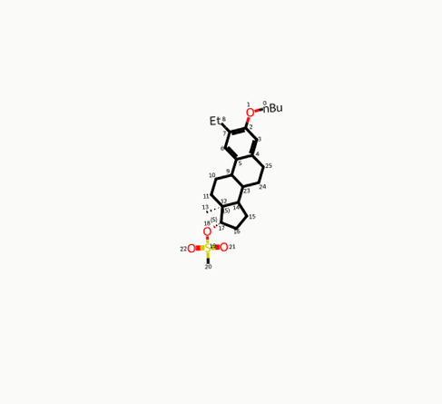 CCCCOc1cc2c(cc1CC)C1CC[C@@]3(C)C(CC[C@@H]3OS(C)(=O)=O)C1CC2